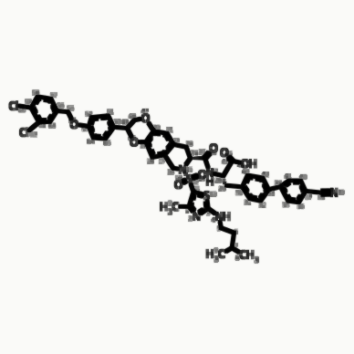 Cc1nc(NCCC(C)C)sc1S(=O)(=O)N1Cc2cc3c(cc2C[C@H]1C(=O)N[C@@H](Cc1ccc(-c2ccc(C#N)cc2)cc1)C(=O)O)OCC(c1ccc(OCc2ccc(Cl)c(Cl)c2)cc1)O3